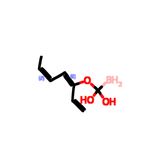 BC(O)(O)O/C(C=C)=C/C=C\C